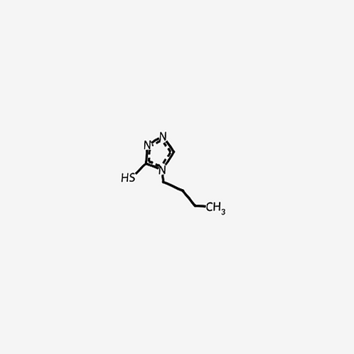 CCCCn1cnnc1S